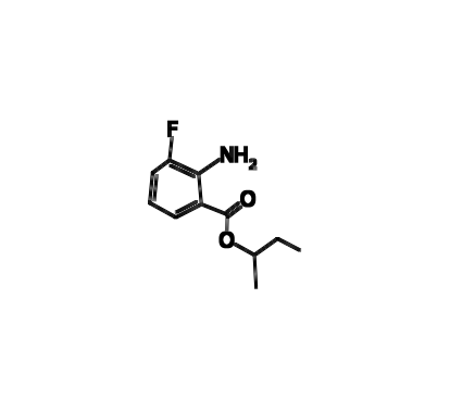 CCC(C)OC(=O)c1cccc(F)c1N